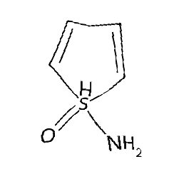 N[SH]1(=O)C=CC=C1